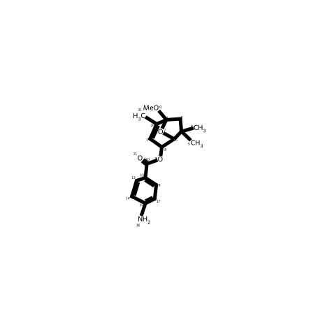 COC12CC(C)(C)C(O1)C(OC(=O)c1ccc(N)cc1)C=C2C